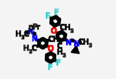 CCCN(C)C=Nc1cc(C)c(Oc2ccc(F)c(F)c2)cc1C.Cc1cc(Oc2ccc(F)c(F)c2)c(C)cc1N=CN(C)C1CC1